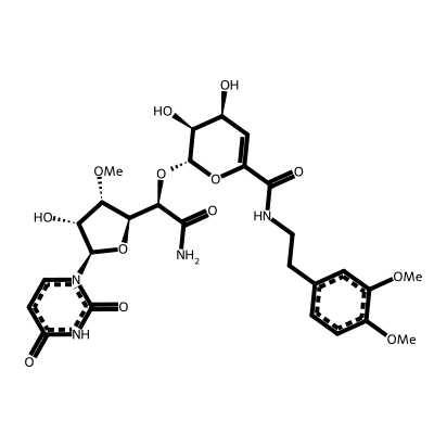 COc1ccc(CCNC(=O)C2=C[C@H](O)[C@H](O)[C@@H](O[C@@H](C(N)=O)[C@H]3O[C@@H](n4ccc(=O)[nH]c4=O)[C@H](O)[C@@H]3OC)O2)cc1OC